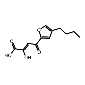 CCCCc1coc(C(=O)C=C(O)C(=O)O)c1